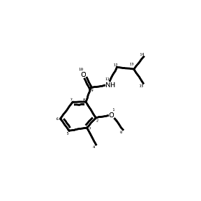 COc1c(C)cccc1C(=O)NCC(C)C